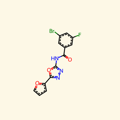 O=C(Nc1nnc(-c2ccco2)o1)c1cc(F)cc(Br)c1